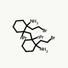 CCCC1(CC2(CCC)CCCCC2(N)CCBr)CCCCC1(N)CCBr